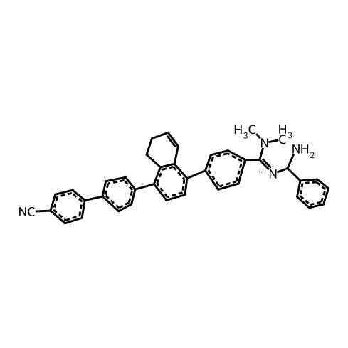 CN(C)/C(=N\C(N)c1ccccc1)c1ccc(-c2ccc(-c3ccc(-c4ccc(C#N)cc4)cc3)c3c2C=CCC3)cc1